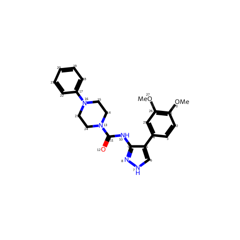 COc1ccc(-c2c[nH]nc2NC(=O)N2CCN(c3ccccc3)CC2)cc1OC